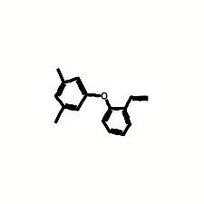 C=Cc1ccccc1Oc1cc(C)cc(C)c1